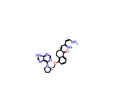 N=C(/C=C\N)/C=C1/CCc2c(OC[C@H]3CCCN3c3ncnc4[nH]cnc34)cccc2C1=O